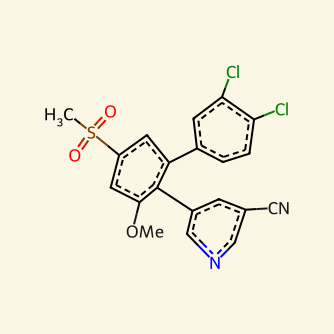 COc1cc(S(C)(=O)=O)cc(-c2ccc(Cl)c(Cl)c2)c1-c1cncc(C#N)c1